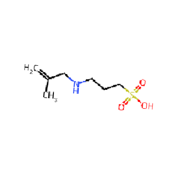 C=C(C)CNCCCS(=O)(=O)O